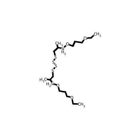 CCOCCCO[SiH2]C(C)CSSSSCC(C)[SiH2]OCCCOCC